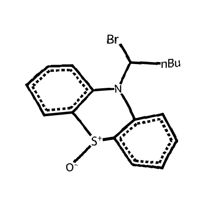 CCCCC(Br)N1c2ccccc2[S+]([O-])c2ccccc21